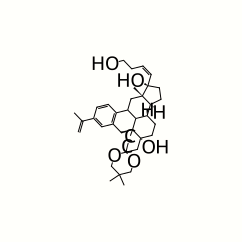 C=C(C)c1ccc2c(c1)C[C@]13CCC4(C[C@]1(O)CC[C@@H]1C3C2C[C@@]2(C)[C@H]1CC[C@@]2(O)/C=C\CCO)OCC(C)(C)CO4